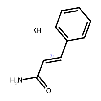 NC(=O)/C=C/c1ccccc1.[KH]